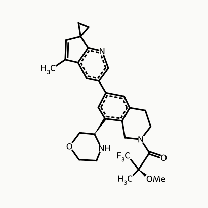 CO[C@](C)(C(=O)N1CCc2cc(-c3cnc4c(c3)C(C)=CC43CC3)cc([C@@H]3COCCN3)c2C1)C(F)(F)F